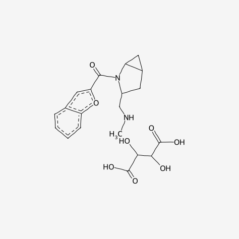 CNCC1CC2CC2N1C(=O)c1cc2ccccc2o1.O=C(O)C(O)C(O)C(=O)O